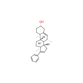 C[C@H]1C=C2C[C@@H](O)CC[C@]2(C)[C@H]2CC[C@]3(C)C(c4ccccc4)=CC[C@H]3[C@H]12